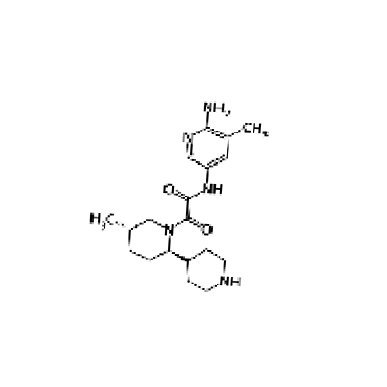 Cc1cc(NC(=O)C(=O)N2C[C@@H](C)CC[C@@H]2C2CCNCC2)cnc1N